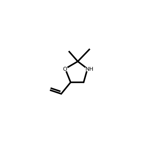 C=CC1CNC(C)(C)O1